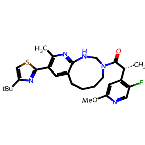 COc1cc([C@@H](C)C(=O)N2CCCCc3cc(-c4nc(C(C)(C)C)cs4)c(C)nc3NC2)c(F)cn1